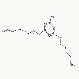 [CH2]CCc1nc(CCCCCCCCCCCCCCC)nc(CCCCCCCCCCCCCCC)n1